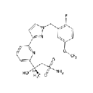 C[C@](O)(CS(N)(=O)=O)c1cccc(-c2ccn(Cc3cc(OC(F)(F)F)ccc3F)n2)n1